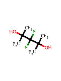 OC(C(F)(F)F)(C(F)(F)F)C(F)(F)C(O)(C(F)(F)F)C(F)(F)F